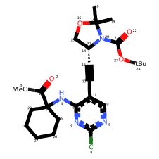 COC(=O)C1(Nc2nc(Cl)ncc2C#C[C@@H]2COC(C)(C)N2C(=O)OC(C)(C)C)CCCCC1